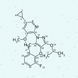 COc1cc(C2CC2)cnc1-n1nc(OC(C)C)c(Oc2c(F)cccc2F)c1C